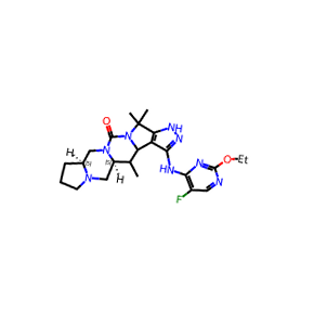 CCOc1ncc(F)c(Nc2n[nH]c3c2C2C(C)[C@H]4CN5CCC[C@H]5CN4C(=O)N2C3(C)C)n1